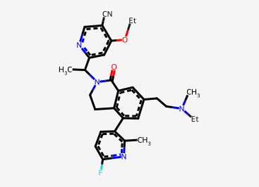 CCOc1cc(C(C)N2CCc3c(cc(CCN(C)CC)cc3-c3ccc(F)nc3C)C2=O)ncc1C#N